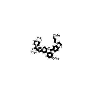 COCCCN1CCOc2ccc(CO[C@H]3CNC(CC(C)(C)C(=O)N4CCN(C)CC4)C[C@@H]3c3ccc(OC)cc3)cc21